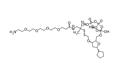 CC(C)(CNC(=O)CCOCCOCCOCCOCCN)SSCO[C@@H]1C[C@H](C2CCCC2)OC1COP(=O)(O)OP(=O)(O)OP(=O)(O)O